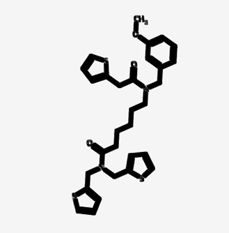 COc1cccc(CN(CCCCCC(=O)N(Cc2cccs2)Cc2cccs2)C(=O)Cc2cccs2)c1